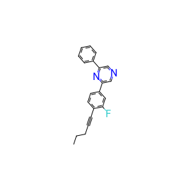 CCCC#Cc1ccc(-c2cncc(-c3ccccc3)n2)cc1F